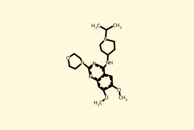 COc1cc2nc(N3CCOCC3)nc(NC3CCN(C(C)C)CC3)c2cc1OC